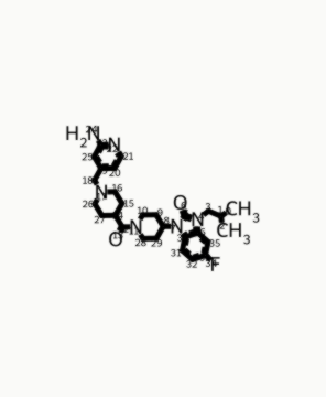 CC(C)Cn1c(=O)n(C2CCN(C(=O)C3CCN(Cc4ccnc(N)c4)CC3)CC2)c2ccc(F)cc21